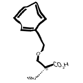 CC(C)(C)[C@H](OCc1ccccc1)C(=O)O